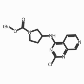 CC(C)(C)OC(=O)N1CCC(Nc2nc(Cl)nc3cnccc23)C1